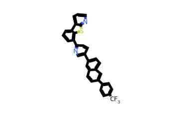 FC(F)(F)c1ccc(-c2ccc3cc(-c4ccc(-c5cccc6c5sc5ncccc56)nc4)ccc3c2)cc1